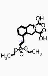 CCOP(=O)(/C=C/c1cccc2c1CC(C(=O)O)N(C(=O)O)C2)OCC